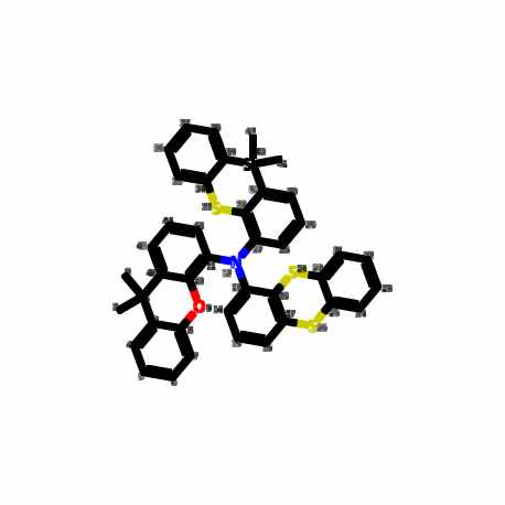 CC1(C)c2ccccc2Oc2c(N(c3cccc4c3Sc3ccccc3S4)c3cccc4c3Sc3ccccc3[Si]4(C)C)cccc21